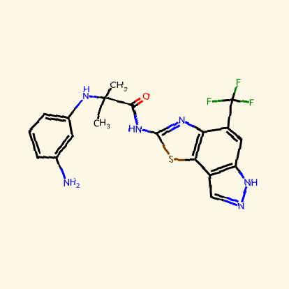 CC(C)(Nc1cccc(N)c1)C(=O)Nc1nc2c(C(F)(F)F)cc3[nH]ncc3c2s1